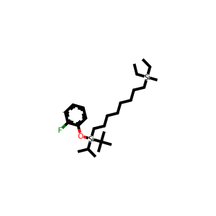 CC[Si](C)(CC)CCCCCCCC[Si](Oc1ccc[c]c1F)(C(C)C)C(C)(C)C